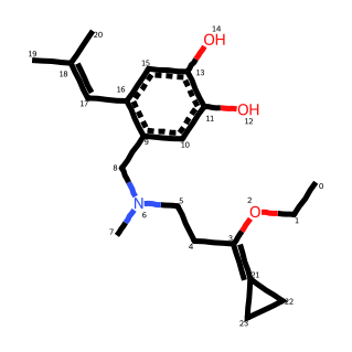 CCOC(CCN(C)Cc1cc(O)c(O)cc1C=C(C)C)=C1CC1